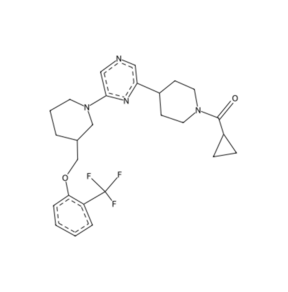 O=C(C1CC1)N1CCC(c2cncc(N3CCCC(COc4ccccc4C(F)(F)F)C3)n2)CC1